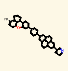 N#Cc1ccc2c3c(cccc13)-c1ccc(-c3ccc(-c4cc5ccc6cc(-c7cccnc7)cc7ccc(c4)c5c67)cc3)cc1O2